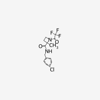 CC1(C(=O)NCc2ccc(Cl)cc2)CCN1C(=O)C(F)(F)F